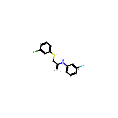 C=C(CSc1cccc(Cl)c1)Nc1cccc(F)c1